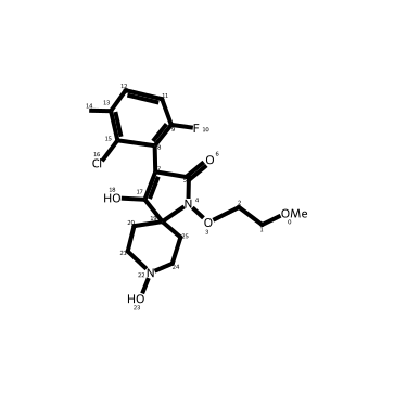 COCCON1C(=O)C(c2c(F)ccc(C)c2Cl)=C(O)C12CCN(O)CC2